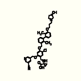 Cc1c(COc2cc(OCc3cncc(C#N)c3)c(CNC3(C(=O)O)CC3)cc2Cl)cccc1-c1cccc(OCCCN2CC[C@@H](OI)C2)c1C